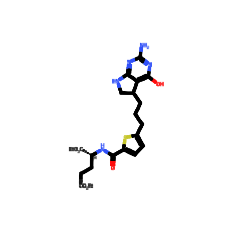 CCOC(=O)CC[C@@H](NC(=O)c1ccc(CCCC2CNc3nc(N)nc(O)c32)s1)C(=O)OCC